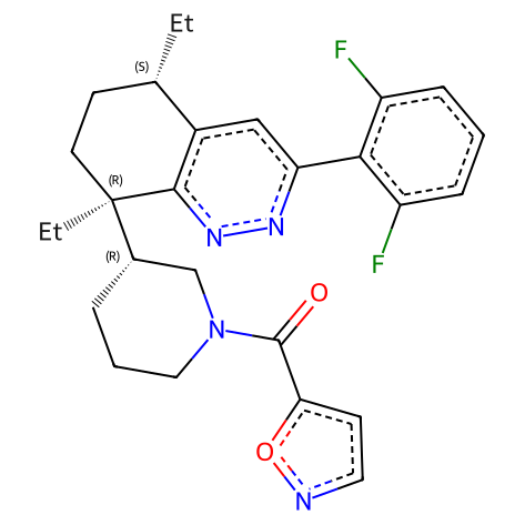 CC[C@H]1CC[C@](CC)([C@H]2CCCN(C(=O)c3ccno3)C2)c2nnc(-c3c(F)cccc3F)cc21